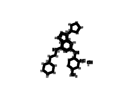 Cl.Cl.NC1CCC(Nc2nc(NCCN3CCOCC3)c3ncn(C4CCCC4)c3n2)CC1